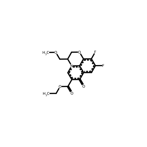 CCOC(=O)c1cn2c3c(c(F)c(F)cc3c1=O)OCC2COC